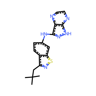 CC(C)(C)Cc1nsc2cc(Nc3n[nH]c4nccnc34)ccc12